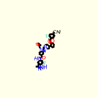 Cc1n[nH]c2c(F)cc(NC(=O)c3ccc4c(c3)nc(CN3CC=C(c5cccc6c5O[C@](C)(c5ccc(C#N)cc5F)O6)CC3)n4CC3CCO3)cc12